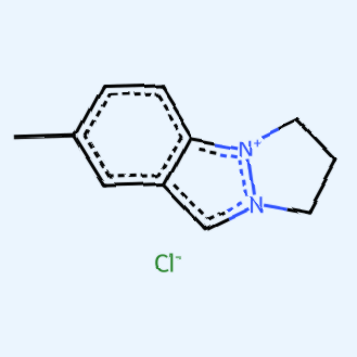 Cc1ccc2c(c1)cn1[n+]2CCC1.[Cl-]